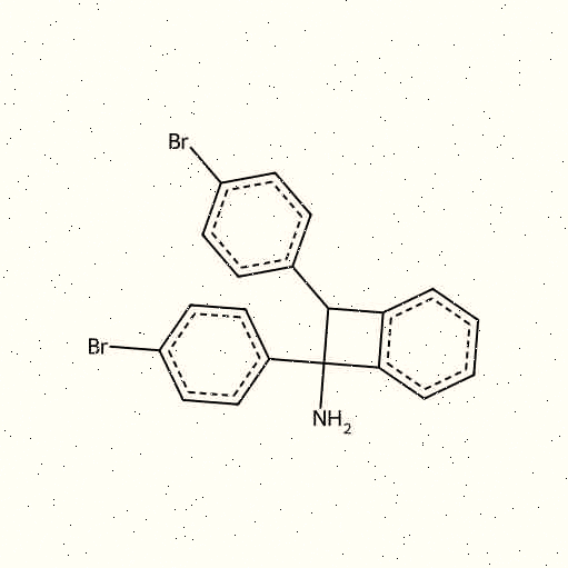 NC1(c2ccc(Br)cc2)c2ccccc2C1c1ccc(Br)cc1